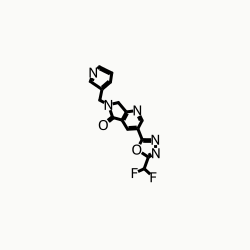 O=C1c2cc(-c3nnc(C(F)F)o3)cnc2CN1Cc1cccnc1